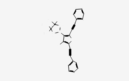 Cc1c(C#Cc2ccccc2)sc(C#Cc2ccccc2)c1B1OC(C)(C)C(C)(C)O1